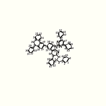 c1ccc(CC2CC3=Nc4c(c5cc(-c6ccc7c(c6)-c6ccccc6CC7c6ccccc6)ccc5n4-c4nc(-c5ccccc5)cc(-c5ccccc5)n4)CC3c3ccccc32)cc1